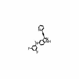 CN(c1cc(F)cc(F)c1)c1ccc2[nH]nc(C#Cc3ccccn3)c2c1